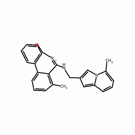 Cc1cccc(-c2ccccc2)c1/C(=N\CCl)NCc1cc2cccc(C)n2c1